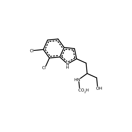 O=C(O)NC(CO)Cc1cc2ccc(Cl)c(Cl)c2[nH]1